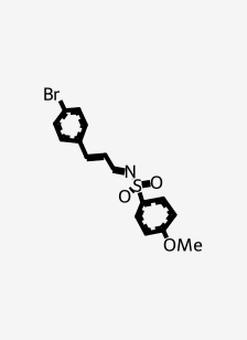 COc1ccc(S(=O)(=O)/N=C/C=C/c2ccc(Br)cc2)cc1